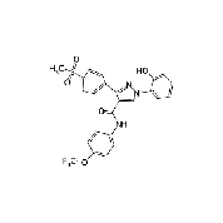 CS(=O)(=O)c1ccc(-c2nn(-c3ccccc3O)cc2C(=O)Nc2ccc(OC(F)(F)F)cc2)cc1